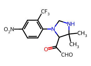 CC1(C)NCN(c2ccc([N+](=O)[O-])cc2C(F)(F)F)C1C(=O)C=O